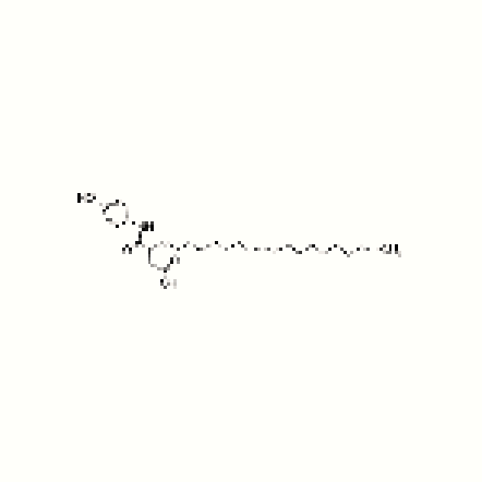 CCCCCCCCCCCCCCCCCCSC(CC(=O)O)C(=O)Nc1ccc(O)cc1